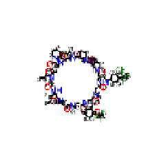 CC[C@H](C)[C@@H]1NC(=O)[C@H](CC(C)C)N(C)C(=O)C[C@@H](C(=O)N2CCCCC2)N(C)C(=O)[C@H](C(C)C)N(C)C(=O)C2(CCCC2)NC(=O)[C@@H]2CCCN2C(=O)[C@H](CCc2ccc(C(F)(F)F)c(Cl)c2)NC(=O)CN(C)C(=O)[C@H](Cc2ccccc2OC(F)(F)F)N(C)C(=O)CN(C)C(=O)CN(C)C1=O